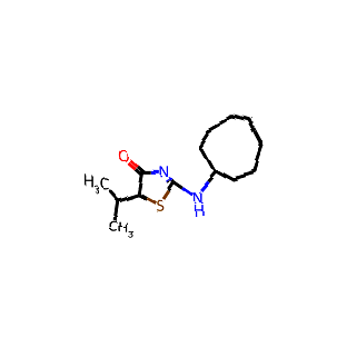 CC(C)C1SC(NC2CCCCCCC2)=NC1=O